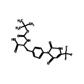 CC(C)(C)OC(=O)N[C@@H](Cc1ccc(-n2c(=O)cc(C(F)(F)F)[nH]c2=O)cc1)C(=O)O